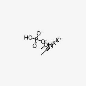 CC#N.CO.O=P([O-])([O-])O.[K+].[K+]